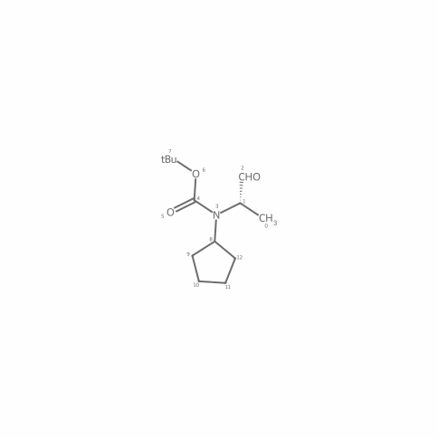 C[C@@H](C=O)N(C(=O)OC(C)(C)C)C1CCCC1